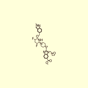 COC(=O)c1ccc2nc(C3CC34CCN(C3NC(OCc5ccc6nn(C)cc6c5)C(F)CC3F)CC4)n(C[C@@H]3CCO3)c2c1